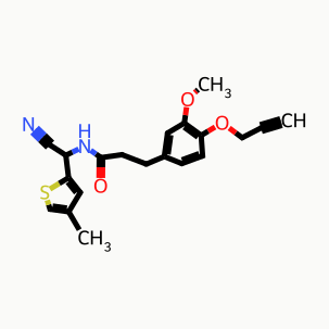 C#CCOc1ccc(CCC(=O)NC(C#N)c2cc(C)cs2)cc1OC